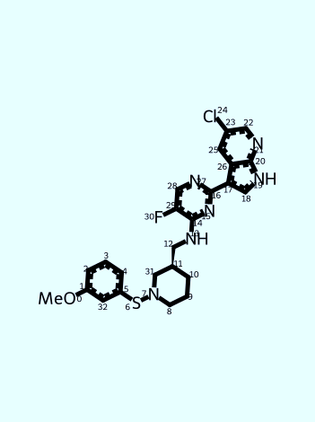 COc1cccc(SN2CCC[C@H](CNc3nc(-c4c[nH]c5ncc(Cl)cc45)ncc3F)C2)c1